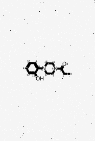 CCC(=O)N1CCN(c2ccccc2O)CC1